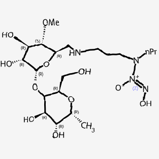 CCCN(CCCNC[C@H]1O[C@H](OC2[C@@H](CO)O[C@H](C)[C@H](O)[C@H]2O)[C@H](O)[C@@H](O)[C@@H]1OC)/[N+]([O-])=N/O